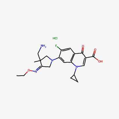 CCO/N=C1/CN(c2cc3c(cc2F)c(=O)c(C(=O)O)cn3C2CC2)CC1(C)CN.Cl